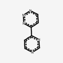 [c]1nccc(-c2ccnnn2)n1